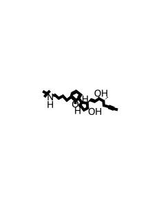 CC#CC[C@@H](C)[C@H](O)/C=C/[C@@H]1[C@H]2c3cccc(CCCCNC(C)(C)C)c3O[C@H]2C[C@H]1O